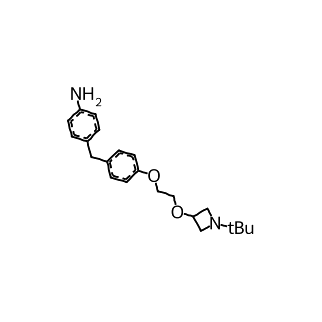 CC(C)(C)N1CC(OCCOc2ccc(Cc3ccc(N)cc3)cc2)C1